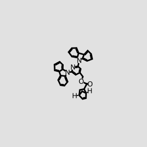 O=C(OCc1cc(-n2c3ccccc3c3ccccc32)nc(-n2c3ccccc3c3ccccc32)c1)C1C[C@H]2C=C[C@@H]1C2